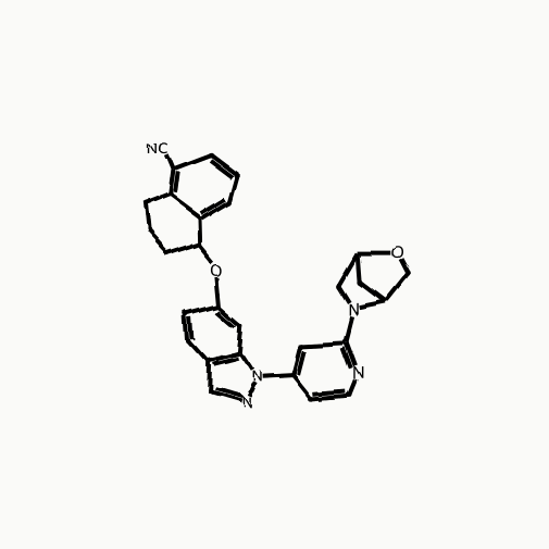 N#Cc1cccc2c1CCCC2Oc1ccc2cnn(-c3ccnc(N4CC5CC4CO5)c3)c2c1